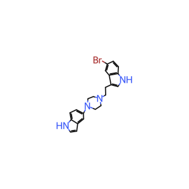 Brc1ccc2[nH]cc(CCN3CCN(c4ccc5[nH]ccc5c4)CC3)c2c1